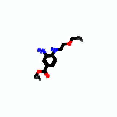 CCOCCNc1ccc(C(=O)OC)cc1N